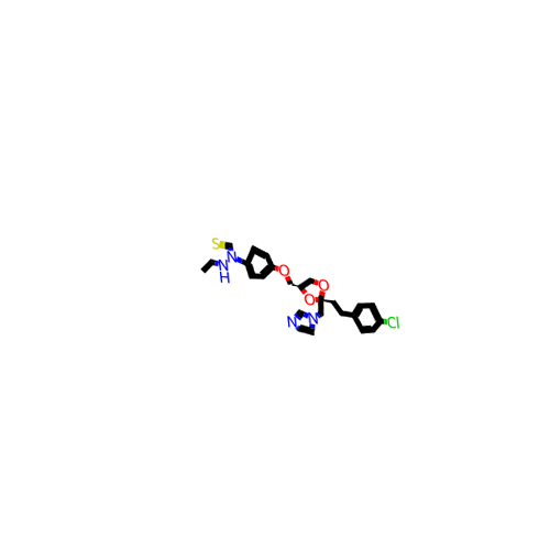 CCNN(C=S)c1ccc(OC[C@@H]2CO[C@](CCc3ccc(Cl)cc3)(Cn3ccnc3)O2)cc1